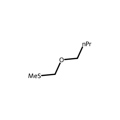 CCCCOCSC